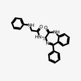 O=C(CNc1ccccc1)N[C@H]1N=C(c2ccccc2)c2ccccc2NC1=O